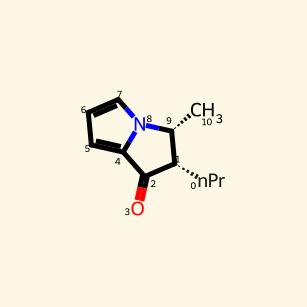 CCC[C@@H]1C(=O)c2cccn2[C@@H]1C